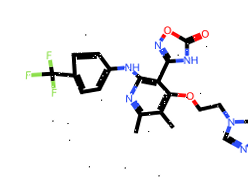 Cc1nc(Nc2ccc(C(F)(F)F)cc2)c(-c2noc(=O)[nH]2)c(OCCn2ccnc2)c1C